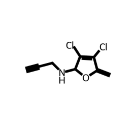 C#CCNC1OC(=C)C(Cl)=C1Cl